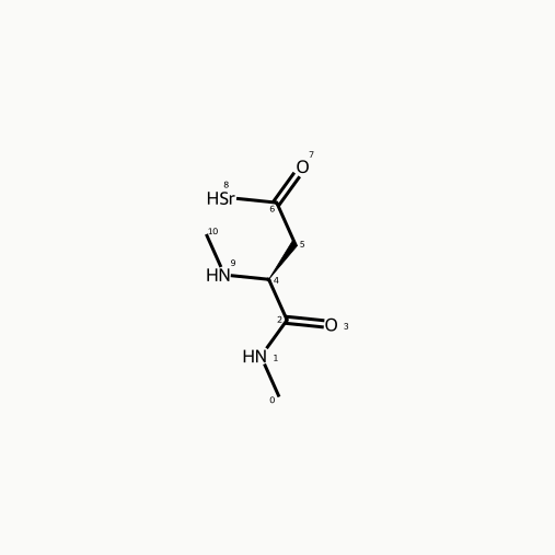 CNC(=O)[C@H](C[C](=O)[SrH])NC